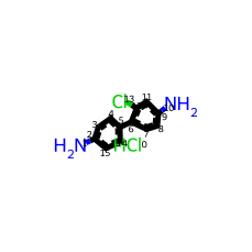 Cl.Nc1ccc(-c2ccc(N)cc2Cl)cc1